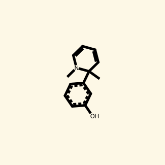 CN1C=CC=CC1(C)c1cccc(O)c1